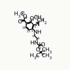 C=Nc1c(NCCNC(=O)OC(C)(C)C)ccc(C(=O)OC)c1OC